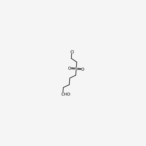 O=[C]CCCCS(=O)(=O)CCCl